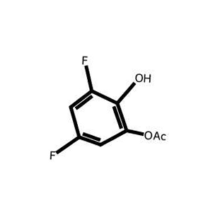 CC(=O)Oc1cc(F)cc(F)c1O